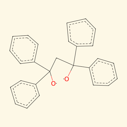 [O]C(CC([O])(c1ccccc1)c1ccccc1)(c1ccccc1)c1ccccc1